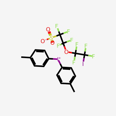 Cc1ccc([I+]c2ccc(C)cc2)cc1.O=S(=O)([O-])C(F)(F)C(F)(F)OC(F)(F)C(F)(F)I